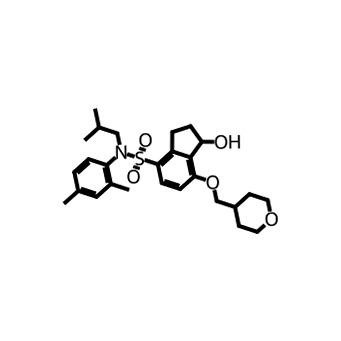 Cc1ccc(N(CC(C)C)S(=O)(=O)c2ccc(OCC3CCOCC3)c3c2CCC3O)c(C)c1